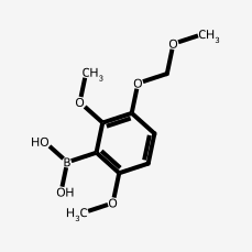 COCOc1ccc(OC)c(B(O)O)c1OC